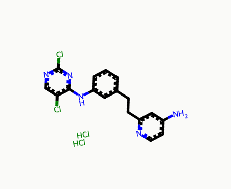 Cl.Cl.Nc1ccnc(CCc2cccc(Nc3nc(Cl)ncc3Cl)c2)c1